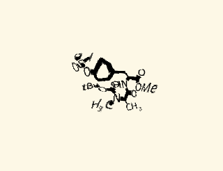 COC(=O)[C@H](Cc1ccc(OS(=O)(=O)I)cc1)NC(=O)[C@H](C)N(C)C(=O)OC(C)(C)C